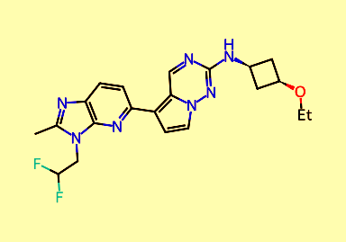 CCO[C@H]1C[C@@H](Nc2ncc3c(-c4ccc5nc(C)n(CC(F)F)c5n4)ccn3n2)C1